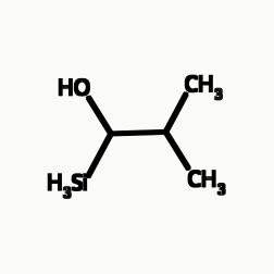 CC(C)C(O)[SiH3]